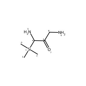 C[Si](C)(C)C(N)C(=O)CN